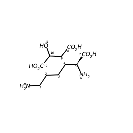 NCCCC[C@H](N)C(=O)O.O=C(O)CC(O)C(=O)O